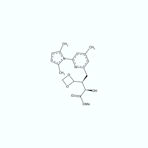 COC(=O)[C@H](O)[C@H](Cc1cc(C)cc(-n2c(C)ccc2C)n1)C1OCO1